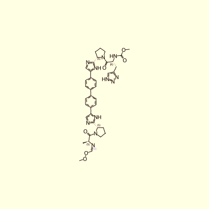 COO/C=N\[C@@H](C)C(=O)N1CCC[C@H]1c1ncc(-c2ccc(-c3ccc(-c4cnc([C@@H]5CCCN5C(=O)[C@@H](Cc5c[nH]nn5)NC(=O)OC)[nH]4)cc3)cc2)[nH]1